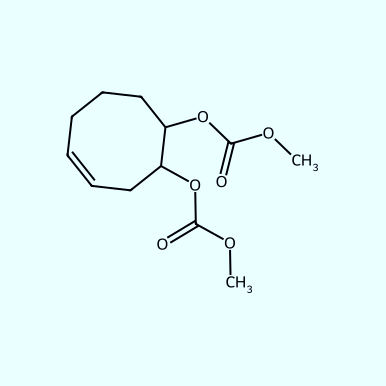 COC(=O)OC1CC=CCCCC1OC(=O)OC